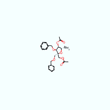 B[C@@H]1O[C@@](COCc2ccccc2)(COC(C)=O)[C@@H](OCc2ccccc2)[C@H]1OC(C)=O